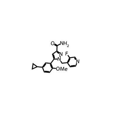 COc1ccc(C2CC2)cc1-c1cc(C(N)=O)nn1Cc1ccncc1F